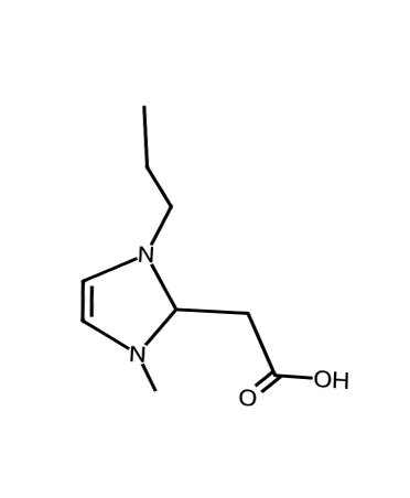 CCCN1C=CN(C)C1CC(=O)O